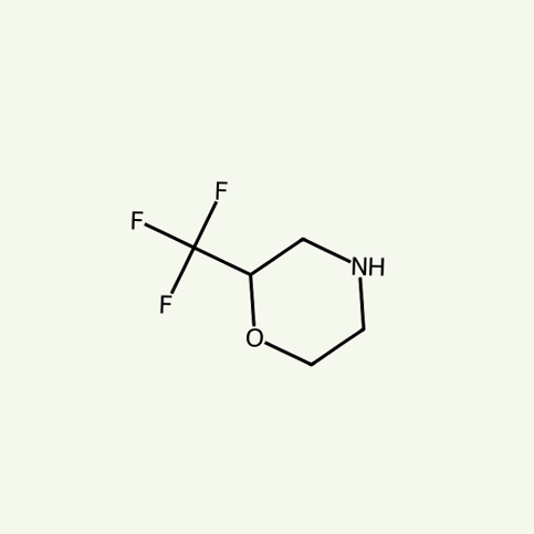 FC(F)(F)C1CNCCO1